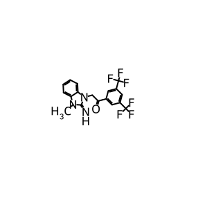 Cn1c(=N)n(CC(=O)c2cc(C(F)(F)F)cc(C(F)(F)F)c2)c2ccccc21